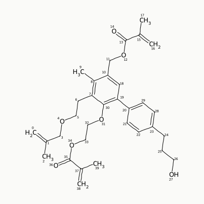 C=C(C)COCCc1c(C)c(COC(=O)C(=C)C)cc(-c2ccc(CCCO)cc2)c1OCCOC(=O)C(=C)C